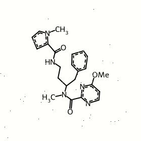 COc1ccnc(C(=O)N(C)C(CCNC(=O)c2cccn2C)Cc2ccccc2)n1